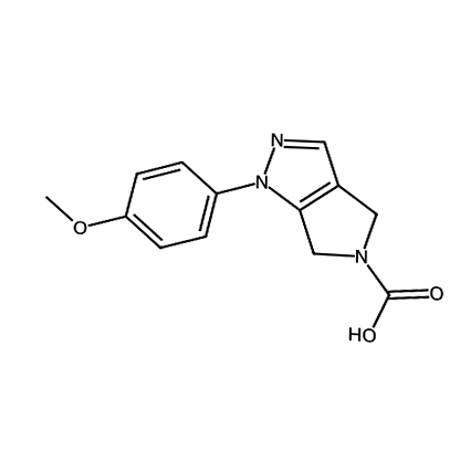 COc1ccc(-n2ncc3c2CN(C(=O)O)C3)cc1